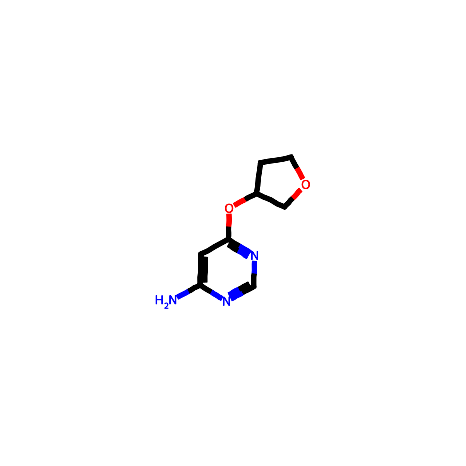 Nc1cc(OC2CCOC2)ncn1